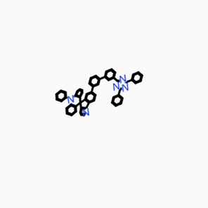 c1ccc(-c2nc(-c3ccccc3)nc(-c3cccc(-c4cccc(-c5ccc6c(c5)C5(c7ccccc7N(c7ccccc7)c7ccccc75)c5cccnc5-6)c4)c3)n2)cc1